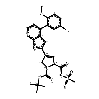 COc1ccc(F)cc1-c1ccnc2[nH]c(C3=CC(C(=O)NS(C)(=O)=O)N(C(=O)OC(C)(C)C)C3)cc12